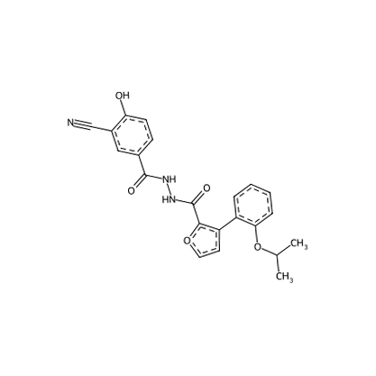 CC(C)Oc1ccccc1-c1ccoc1C(=O)NNC(=O)c1ccc(O)c(C#N)c1